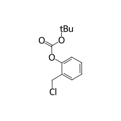 CC(C)(C)OC(=O)Oc1ccccc1CCl